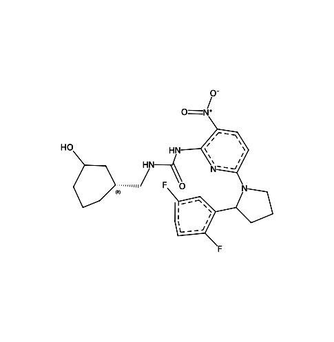 O=C(NC[C@@H]1CCCC(O)C1)Nc1nc(N2CCCC2c2cc(F)ccc2F)ccc1[N+](=O)[O-]